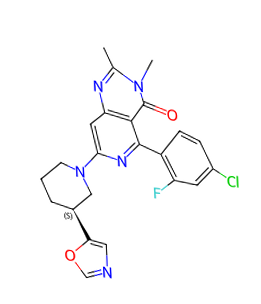 Cc1nc2cc(N3CCC[C@H](c4cnco4)C3)nc(-c3ccc(Cl)cc3F)c2c(=O)n1C